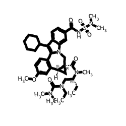 CC[C@H](CN(CC)C(=O)N(C)C)N(C)C(=O)[C@]12C[C@H]1c1cc(OC)ccc1-c1c(C3CCCCC3)c3ccc(C(=O)NS(=O)(=O)N(C)C)cc3n1C2